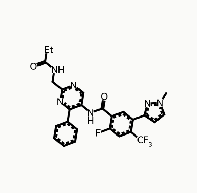 CCC(=O)NCc1ncc(NC(=O)c2cc(-c3ccn(C)n3)c(C(F)(F)F)cc2F)c(-c2ccccc2)n1